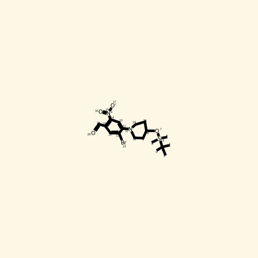 CC(C)(C)[Si](C)(C)OC1CCN(c2cc([N+](=O)[O-])c(C=O)cc2Br)CC1